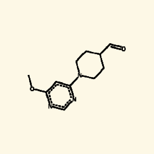 COc1cc(N2CCC(C=O)CC2)ncn1